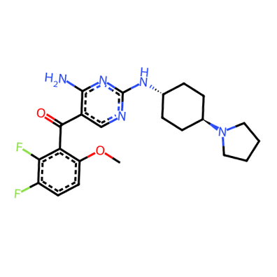 COc1ccc(F)c(F)c1C(=O)c1cnc(N[C@H]2CC[C@H](N3CCCC3)CC2)nc1N